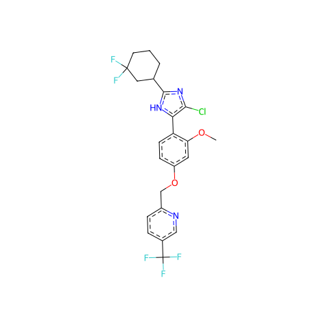 COc1cc(OCc2ccc(C(F)(F)F)cn2)ccc1-c1[nH]c(C2CCCC(F)(F)C2)nc1Cl